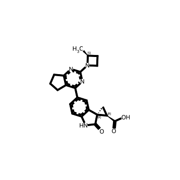 C[C@H]1CCN1c1nc2c(c(-c3ccc4c(c3)[C@]3(C[C@H]3C(=O)O)C(=O)N4)n1)CCC2